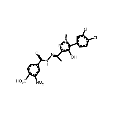 C/C(=N\NC(=O)c1ccc(C(=O)O)c([N+](=O)[O-])c1)c1nn(C)c(-c2ccc(Cl)c(Cl)c2)c1O